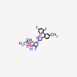 Cc1ccc(C2CC(N3C[C@H](F)[C@H](NS(=O)(=O)N(C)C)C3)=NO2)c(-c2ncc(F)cc2F)c1